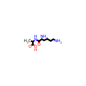 CC(NC(=O)[C@H](N)CCCCN)C(=O)O